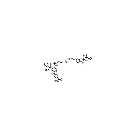 CC1(C)OC(=O)c2ccc(Nc3ncc(-c4nnc(CC#CCN5CCN(CC#Cc6ccc7c(c6)CN(C6CCC(=O)NC6=O)C7=O)CC5)o4)c(N[C@H](CO)c4ccccc4)n3)cc21